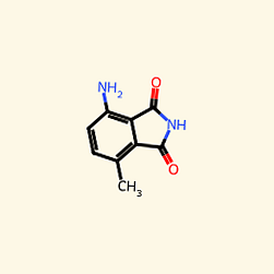 Cc1ccc(N)c2c1C(=O)NC2=O